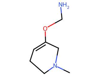 CN1CCC=C(OCN)C1